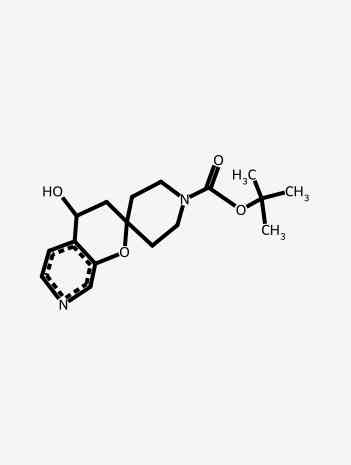 CC(C)(C)OC(=O)N1CCC2(CC1)CC(O)c1ccncc1O2